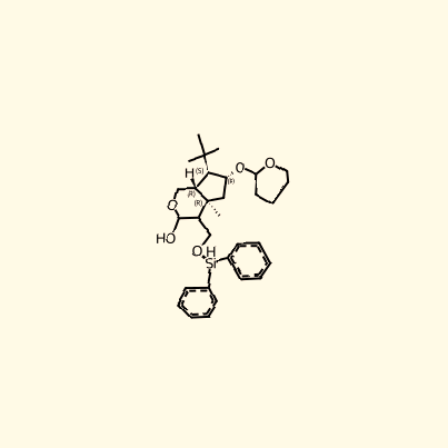 CC(C)(C)[C@@H]1[C@H]2COC(O)C(CO[SiH](c3ccccc3)c3ccccc3)[C@]2(C)C[C@H]1OC1CCCCO1